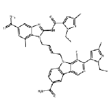 CCn1nc(C)cc1C(=O)Nc1nc2cc(C(N)=O)cc(C)c2n1C/C=C/Cn1c2ccc(C(N)=O)cc2c2cnc(-c3cc(C)nn3CC)c(F)c21